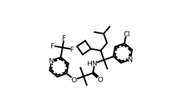 CC(C)CC(C1CCC1)C(C)(NC(=O)C(C)(C)Oc1ccnc(C(F)(F)F)c1)c1cncc(Cl)c1